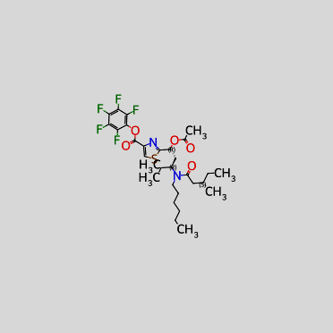 CCCCCCN(C(=O)C[C@@H](C)CC)[C@H](C[C@@H](OC(C)=O)c1nc(C(=O)Oc2c(F)c(F)c(F)c(F)c2F)cs1)C(C)C